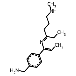 C/C=C(\N=C(/CC)CCCNC)c1ccc(CN)cc1